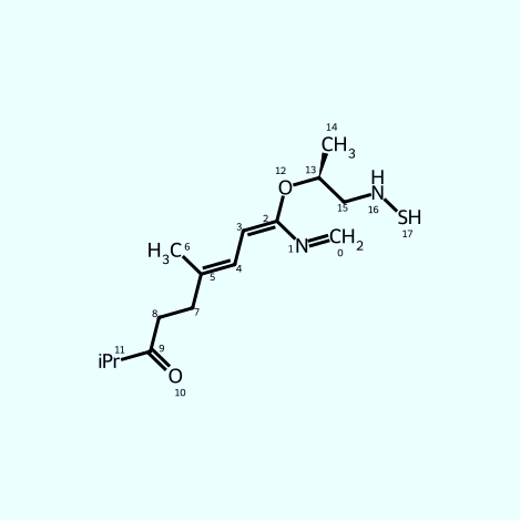 C=N/C(=C\C=C(/C)CCC(=O)C(C)C)O[C@@H](C)CNS